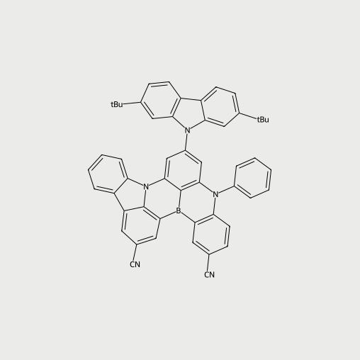 CC(C)(C)c1ccc2c3ccc(C(C)(C)C)cc3n(-c3cc4c5c(c3)-n3c6ccccc6c6cc(C#N)cc(c63)B5c3cc(C#N)ccc3N4c3ccccc3)c2c1